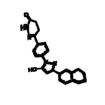 O=C1CCC(c2ccc(-n3nc(-c4ccc5ccccc5c4)cc3O)cc2)=NN1